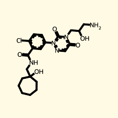 NCC(O)Cn1c(=O)cnn(-c2ccc(Cl)c(C(=O)NCC3(O)CCCCCC3)c2)c1=O